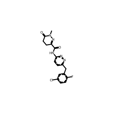 CN1N=C(C(=O)Nc2ccc(Cc3cc(Cl)ccc3F)nn2)CCC1=O